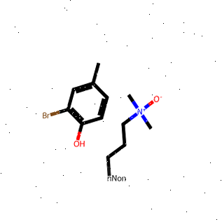 CCCCCCCCCCCC[N+](C)(C)[O-].Cc1ccc(O)c(Br)c1